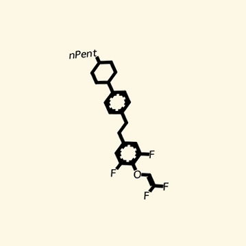 CCCCCC1CCC(c2ccc(CCc3cc(F)c(OC=C(F)F)c(F)c3)cc2)CC1